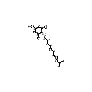 CC(C)O/N=C/COCCCCOc1c(Cl)cc(O)cc1Cl